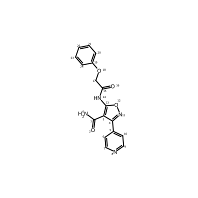 NC(=O)c1c(-c2ccncc2)noc1NC(=O)COc1ccccc1